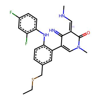 CCSCc1ccc(Nc2ccc(F)cc2F)c(C2=CN(C)C(=O)/C(=C/NC)C2=N)c1